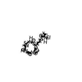 CC(C)[C@@H]1NC(=O)C(C)(C)NC(=O)c2csc(n2)CNC(=O)C[C@@H](/C=C/CCSC(=O)[C@H](NCl)C(C)C)OC1=O